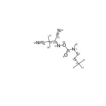 CN(SSC(C)(C)C)C(=O)ON=C(C#N)C(C)(C)C#N